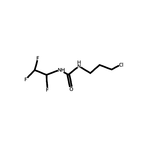 O=C(NCCCCl)NC(F)C(F)F